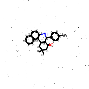 CC(C)c1ccc(C2Nc3ccc4ccccc4c3C3=C2C(=O)CC(C)(C)C3)cc1